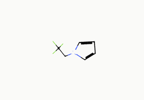 FC(F)(F)Cn1cccc1